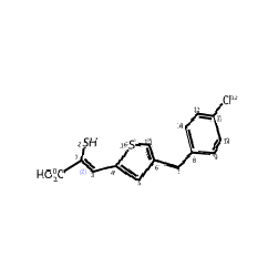 O=C(O)/C(S)=C/c1cc(Cc2ccc(Cl)cc2)cs1